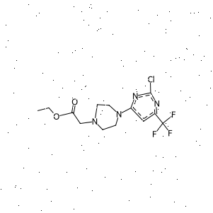 CCOC(=O)CN1CCN(c2cc(C(F)(F)F)nc(Cl)n2)CC1